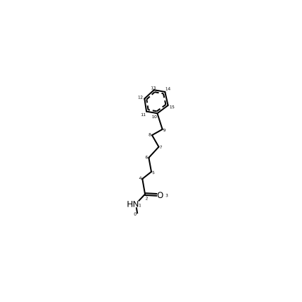 CNC(=O)CCCCCCc1ccccc1